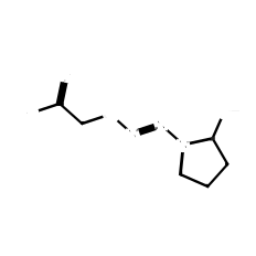 O=C(O)CON=NN1CCCC1O